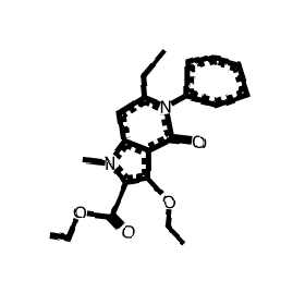 CCOC(=O)c1c(OCC)c2c(=O)n(-c3ccccc3)c(CC)cc2n1C